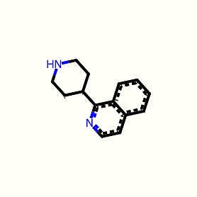 [CH]1CNCC[C]1c1nccc2ccccc12